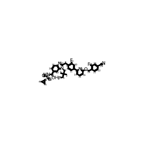 CC(C)(CF)Cn1c(Cc2ccc(-c3cccc(OCc4ccc(C#N)cc4F)n3)cc2F)nc2ccc(C(O)NS(=O)(=O)C3CC3)cc21